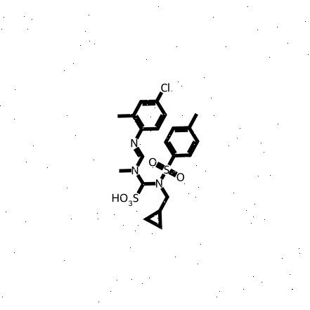 Cc1ccc(S(=O)(=O)N(CC2CC2)C(N(C)C=Nc2ccc(Cl)cc2C)S(=O)(=O)O)cc1